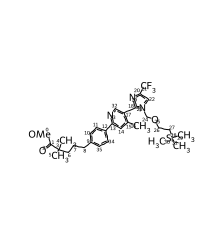 COC(=O)C(C)(C)CCCc1ccc(-c2cc(C)c(-c3nc(C(F)(F)F)cn3COCC[Si](C)(C)C)cn2)cc1